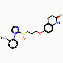 Cc1ccccc1-n1ccnc1[S@@+]([O-])CCCOc1ccc2c(c1)CCC(=O)N2